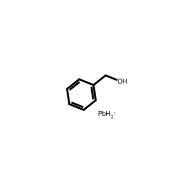 OCc1ccccc1.[PbH2]